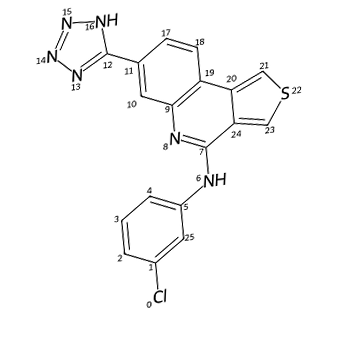 Clc1cccc(Nc2nc3cc(-c4nnn[nH]4)ccc3c3cscc23)c1